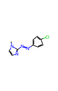 Cn1ccnc1N=Nc1ccc(Cl)cc1